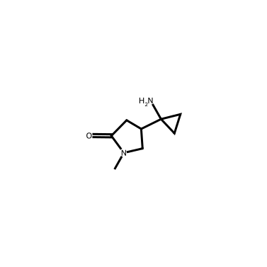 CN1CC(C2(N)CC2)CC1=O